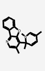 CC1=CN(C)C(C)(c2c(C)cnc3c2oc2ccccc23)C=C1